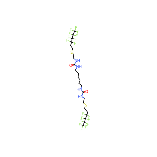 O=C(NCCCCCCNC(=O)NCCSCCC(F)(F)C(F)(F)C(F)(F)C(F)(F)F)NCCSCCC(F)(F)C(F)(F)C(F)(F)C(F)(F)F